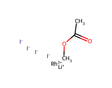 COC(C)=O.[I-].[I-].[I-].[I-].[Li+].[Rh+3]